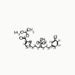 CC(C)OC(=O)c1csc(CCCN(CCCc2cccc(Cl)c2)S(C)(=O)=O)n1